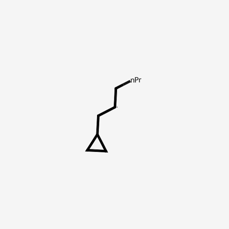 CCCC[CH]CC1CC1